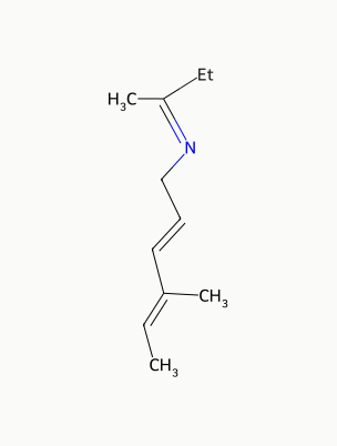 C/C=C(C)/C=C/C/N=C(\C)CC